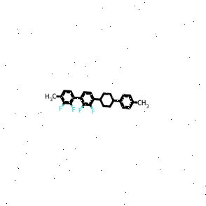 Cc1ccc(C2CCC(c3ccc(-c4ccc(C)c(F)c4F)c(F)c3F)CC2)cc1